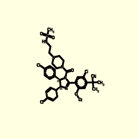 CCOc1cc(C(C)(C)C#N)c(Cl)cc1C1=N[C@@H](C2C=CC(Cl)=CC2)[C@@H](c2ccc(Cl)cc2)N1C(=O)N1CCN(CCNS(C)(=O)=O)CC1